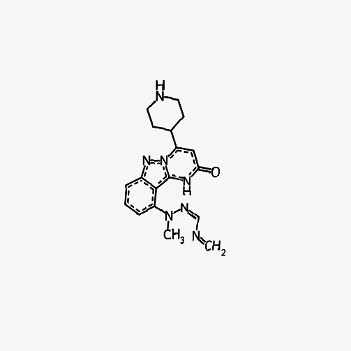 C=N/C=N\N(C)c1cccc2nn3c(C4CCNCC4)cc(=O)[nH]c3c12